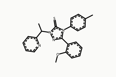 COc1ccccc1-c1nn(C(C)c2ccccn2)c(=S)n1-c1ccc(C)cc1